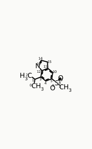 CC(C)c1cc(S(C)(=O)=O)cc2c1N=CC2